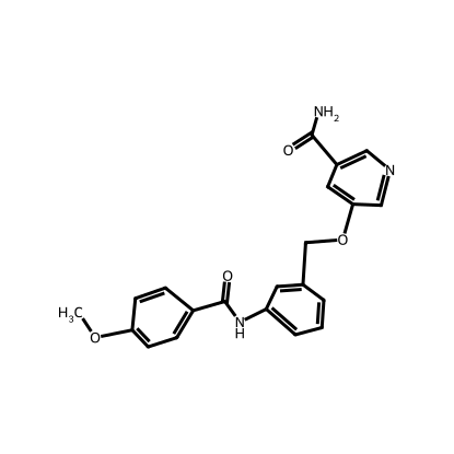 COc1ccc(C(=O)Nc2cccc(COc3cncc(C(N)=O)c3)c2)cc1